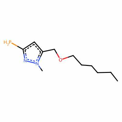 CCCCCCOCc1cc(P)nn1C